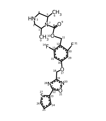 CC1CNCC(C)N1C(=O)OCc1c(F)cc(OCc2noc(-c3cccs3)n2)cc1F